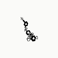 COc1ccc(OC)c(S(=O)(=O)N2CCC(=NOCc3cccc(C#N)c3)CC2)c1